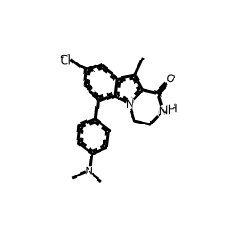 Cc1c2n(c3c(-c4ccc(N(C)C)cc4)cc(Cl)cc13)CCNC2=O